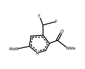 CNC(=O)c1cnc(NC)cc1C(F)F